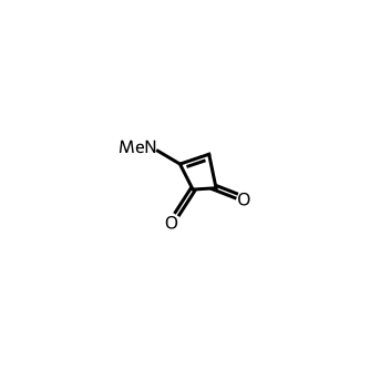 CNc1cc(=O)c1=O